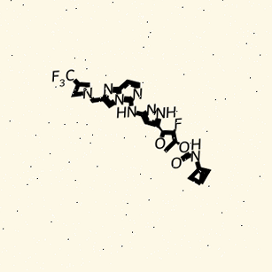 O=C(NC12CC(C1)C2)O[C@H]1CO[C@@H](c2cc(Nc3nccc4nc(CN5CC(C(F)(F)F)C5)cn34)n[nH]2)[C@H]1F